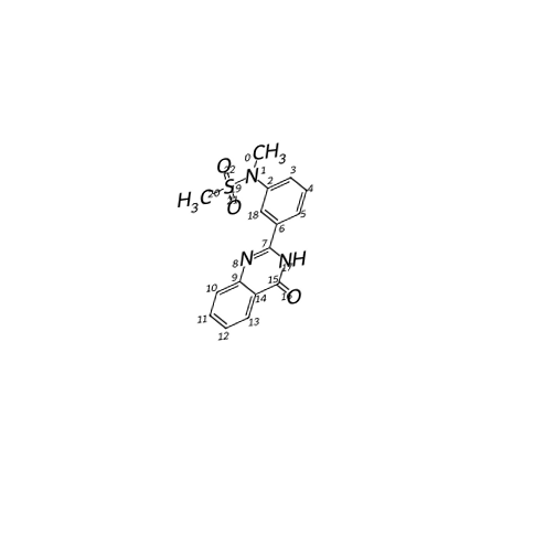 CN(c1cccc(-c2nc3ccccc3c(=O)[nH]2)c1)S(C)(=O)=O